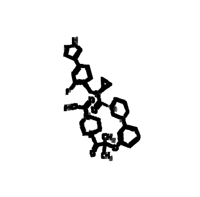 CC(C)(Oc1cccc(N2CCC[C@@H](C(=O)N(Cc3ccc(-c4cn[nH]c4)cc3F)C3CC3)C2)c1)C(=O)N1CCN(C(=O)O)CC1